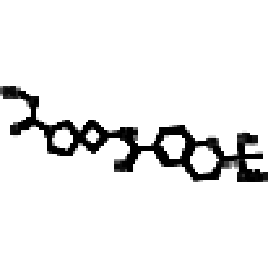 CO[C@@](C)([C@H]1CCc2cc(C(=N)NC3CC4(CCN(C(=O)OC(C)(C)C)C4)C3)ccc2O1)C(C)(C)C